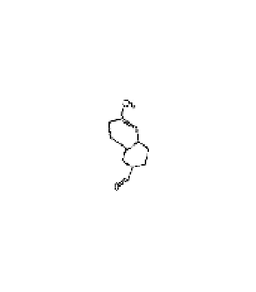 CC1=CC2CCC(C=O)CC2CC1